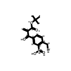 C=C(C(=O)OC(C)(C)C)C(=O)c1ccc(CBr)c([N+](=O)[O-])c1